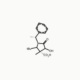 C[C@H](c1ccccc1)N1C(=O)C(O)[C@](C)(C(=O)O)C1C(C)(C)C